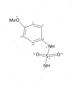 COc1ccc(NS([NH])(=O)=O)cc1